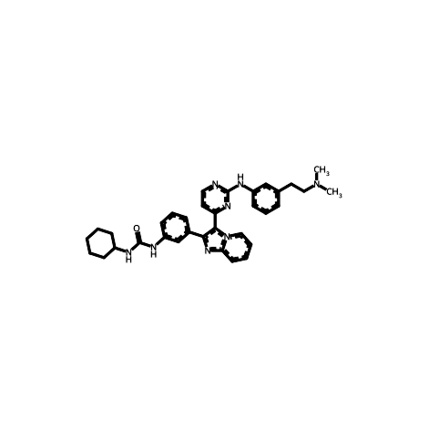 CN(C)CCc1cccc(Nc2nccc(-c3c(-c4cccc(NC(=O)NC5CCCCC5)c4)nc4ccccn34)n2)c1